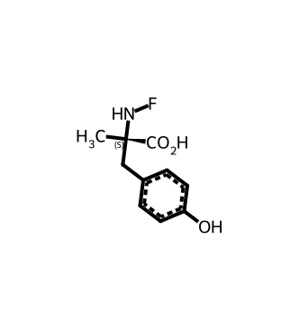 C[C@@](Cc1ccc(O)cc1)(NF)C(=O)O